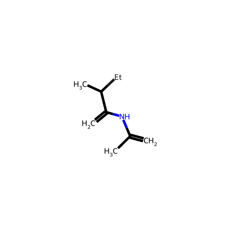 C=C(C)NC(=C)C(C)CC